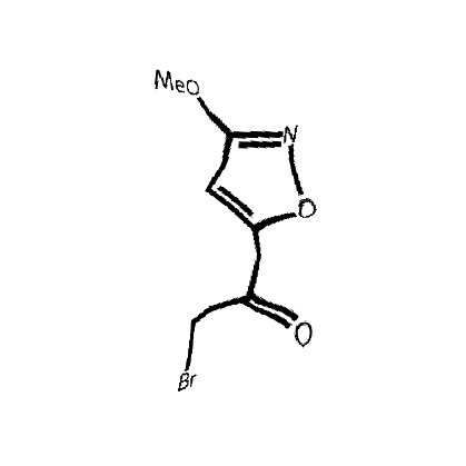 COc1cc(C(=O)CBr)on1